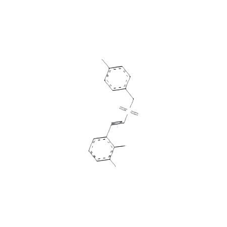 O=S(=O)(/C=C/c1cccc(Cl)c1Cl)Cc1ccc(Cl)cc1